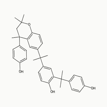 CC1(C)CC(C)(c2ccc(O)cc2)c2cc(C(C)(C)c3ccc(O)c(C(C)(C)c4ccc(O)cc4)c3)ccc2O1